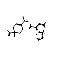 CCCC(=O)C1(C)CC=C(C(C)NC(=O)c2cc(C(=O)O)nc3ccnn23)CC1